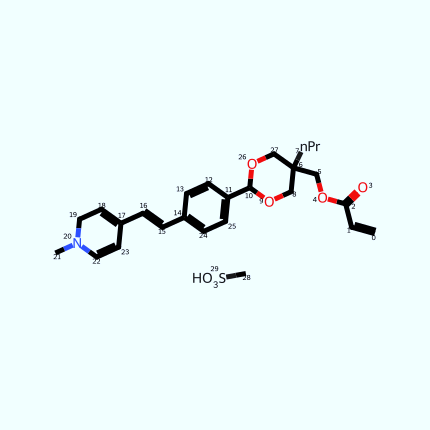 C=CC(=O)OCC1(CCC)COC(c2ccc(C=CC3=CCN(C)C=C3)cc2)OC1.CS(=O)(=O)O